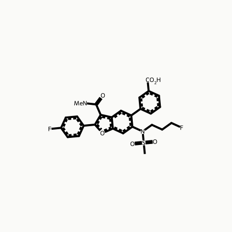 CNC(=O)c1c(-c2ccc(F)cc2)oc2cc(N(CCCF)S(C)(=O)=O)c(-c3cccc(C(=O)O)c3)cc12